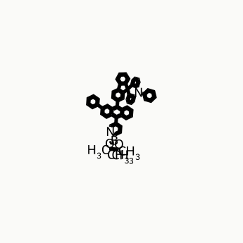 CC1(C)OB(c2ccc(-c3c4ccccc4c(-c4ccc5c(c4)C4(c6ccccc6-5)c5ccccc5N(c5ccccc5)c5ccccc54)c4cc(-c5ccccc5)ccc34)cn2)OC1(C)C